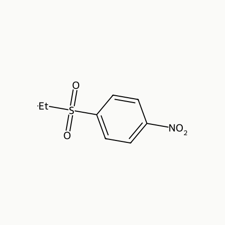 C[CH]S(=O)(=O)c1ccc([N+](=O)[O-])cc1